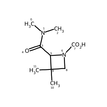 CN(C)C(=O)C1N(C(=O)O)CC1(C)C